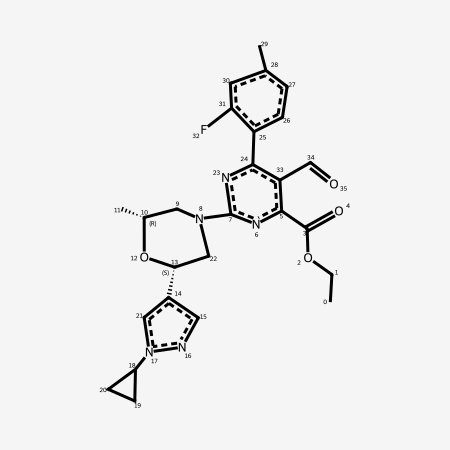 CCOC(=O)c1nc(N2C[C@@H](C)O[C@@H](c3cnn(C4CC4)c3)C2)nc(-c2ccc(C)cc2F)c1C=O